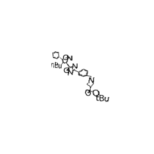 CCCCc1c(-c2nc(-c3ccc(CN4CC(C(=O)OC(C)(C)C)C4)cc3)no2)noc1-c1ccccc1